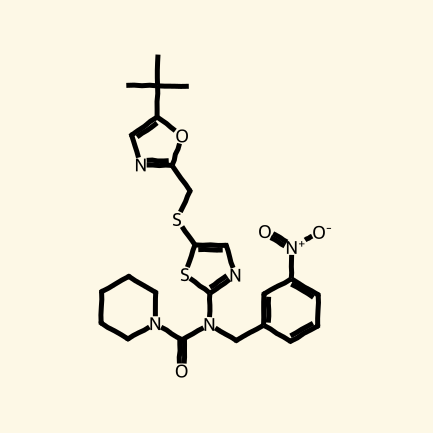 CC(C)(C)c1cnc(CSc2cnc(N(Cc3cccc([N+](=O)[O-])c3)C(=O)N3CCCCC3)s2)o1